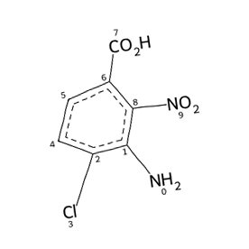 Nc1c(Cl)ccc(C(=O)O)c1[N+](=O)[O-]